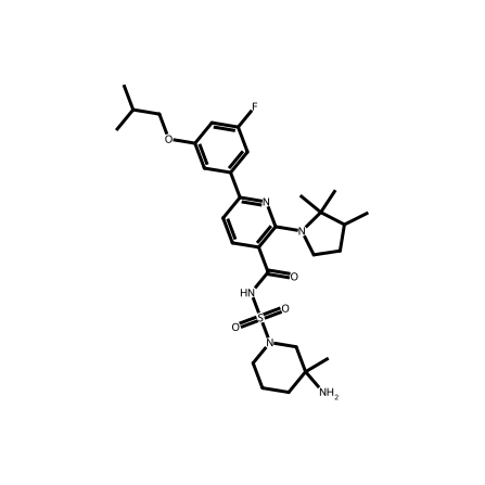 CC(C)COc1cc(F)cc(-c2ccc(C(=O)NS(=O)(=O)N3CCCC(C)(N)C3)c(N3CCC(C)C3(C)C)n2)c1